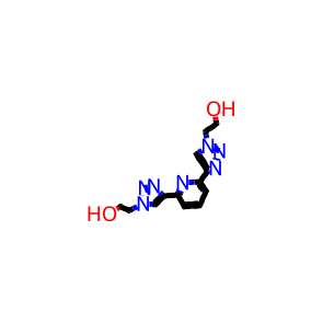 OCCn1cc(-c2cccc(-c3cn(CCO)nn3)n2)nn1